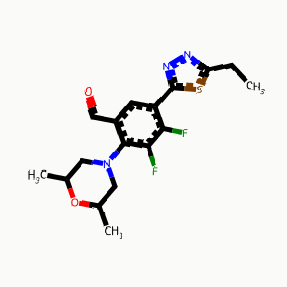 CCc1nnc(-c2cc(C=O)c(N3CC(C)OC(C)C3)c(F)c2F)s1